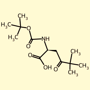 CC(C)(C)OC(=O)N[C@@H](CC(=O)C(C)(C)C)C(=O)O